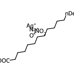 CCCCCCCCCCCCCCCCCCCCCC(=O)[O-].O=[N+]([O-])[O-].[Ag+].[Na+]